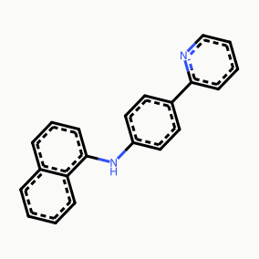 c1ccc(-c2ccc(Nc3cccc4ccccc34)cc2)nc1